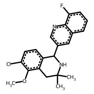 COc1c(Cl)ccc2c1CC(C)(C)NC2c1cnc2c(F)cccc2c1